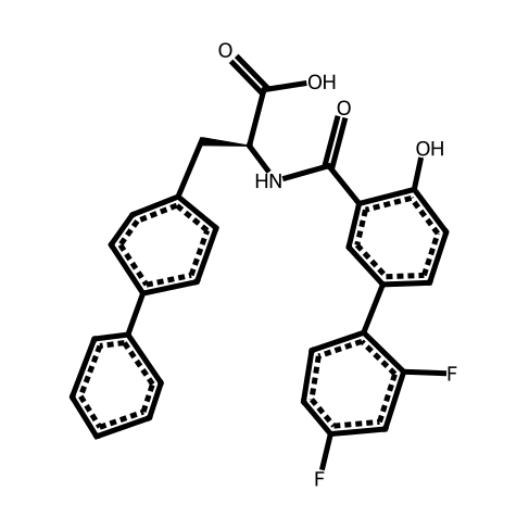 O=C(N[C@@H](Cc1ccc(-c2ccccc2)cc1)C(=O)O)c1cc(-c2ccc(F)cc2F)ccc1O